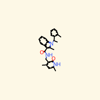 Cc1cc(C)c(CNC(=O)c2c(C)n(C(C)c3ccccc3C)c3ccccc23)c(=O)[nH]1